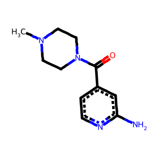 CN1CCN(C(=O)c2ccnc(N)c2)CC1